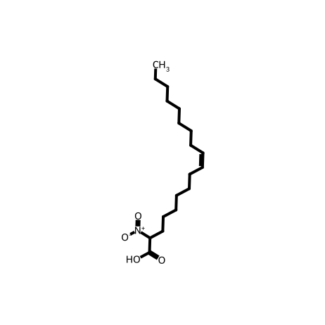 CCCCCCCC/C=C\CCCCCCC(C(=O)O)[N+](=O)[O-]